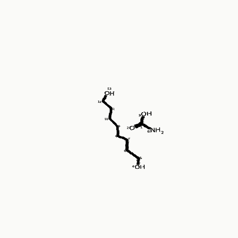 NC(=O)O.OCCCCCCCCO